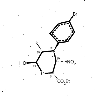 CCOC(=O)[C@@H]1O[C@@H](O)[C@H](C)[C@@H](c2ccc(Br)cc2)[C@@H]1[N+](=O)[O-]